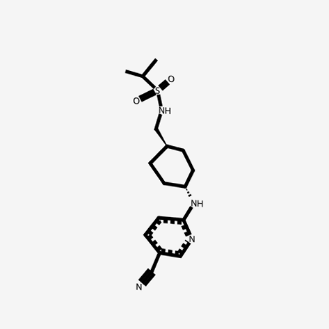 CC(C)S(=O)(=O)NC[C@H]1CC[C@H](Nc2ccc(C#N)cn2)CC1